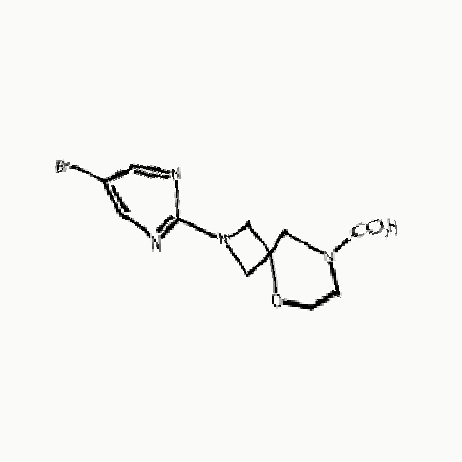 O=C(O)N1CCOC2(C1)CN(c1ncc(Br)cn1)C2